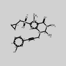 CN1C(=O)c2c(nc(S(=O)(=O)CC3CC3)n2C)N(CC#Cc2cccc(F)c2)C1O